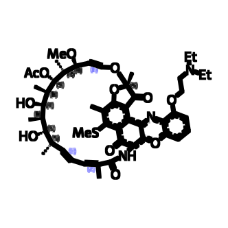 CCN(CC)CCOc1cccc2oc3c4c(=O)c5c(SC)c(C)c6c(c5c-3nc12)C(=O)[C@@](C)(O/C=C/[C@H](OC)[C@@H](C)[C@@H](OC(C)=O)[C@H](C)[C@H](O)[C@H](C)[C@@H](O)[C@@H](C)/C=C/C=C(/C)C(=O)N4)O6